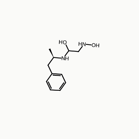 C[C@H](Cc1ccccc1)NC(O)CNO